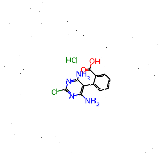 Cl.Nc1nc(Cl)nc(N)c1-c1ccccc1C(=O)O